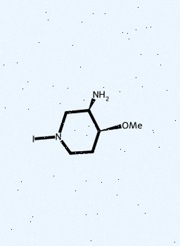 CO[C@H]1CCN(I)C[C@H]1N